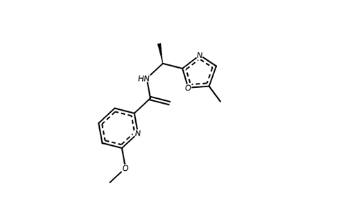 C=C(N[C@@H](C)c1ncc(C)o1)c1cccc(OC)n1